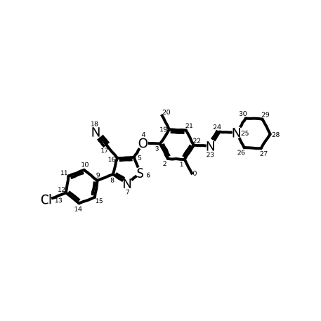 Cc1cc(Oc2snc(-c3ccc(Cl)cc3)c2C#N)c(C)cc1N=CN1CCCCC1